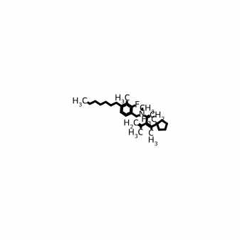 C=C(C)/C(C(=C)N(C)Cc1ccc(CCCCCCC)c(C)c1F)=C(\C)C1(C)CCCC1